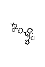 CC(C)(C)OC(=O)N1CCC(c2cn(C(Cl)c3cccs3)c3ncccc23)CC1